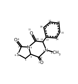 CN1C(=O)C2CSC(=O)N2C(=O)C1c1ccccc1